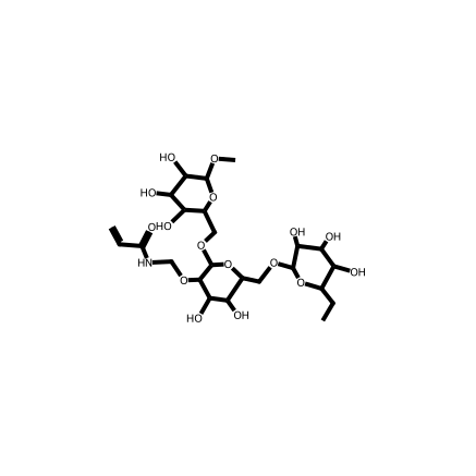 C=CC(=O)NCOC1C(OCC2OC(OC)C(O)C(O)C2O)OC(COC2OC(CC)C(O)C(O)C2O)C(O)C1O